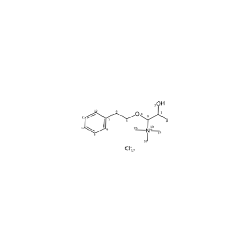 CC(O)C(OCCc1ccccc1)[N+](C)(C)C.[Cl-]